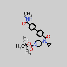 CCNC(=O)c1ccc(-c2ccc(C(=O)N(C3CC3)C3CCN(C(=O)OC(C)(C)C)CC3)cc2)cc1